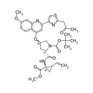 C=CC1C[C@]1(NC(=O)[C@@H]1C[C@@H](Oc2cc(-c3csc(CC(C)=O)n3)nc3cc(OC)ccc23)CN1C(=O)OC(C)(C)C)C(=O)OC